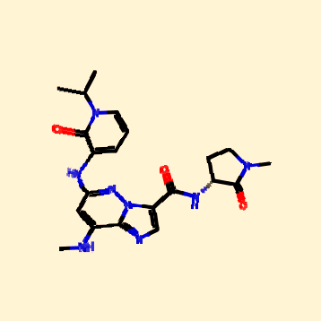 CNc1cc(Nc2cccn(C(C)C)c2=O)nn2c(C(=O)N[C@@H]3CCN(C)C3=O)cnc12